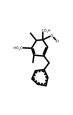 CCOC1(C(=O)O)C=C(Cc2ccccc2)C(C)=C(C(=O)O)C1C